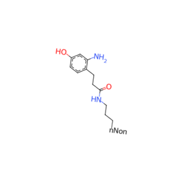 CCCCCCCCCCCCNC(=O)CCc1ccc(O)cc1N